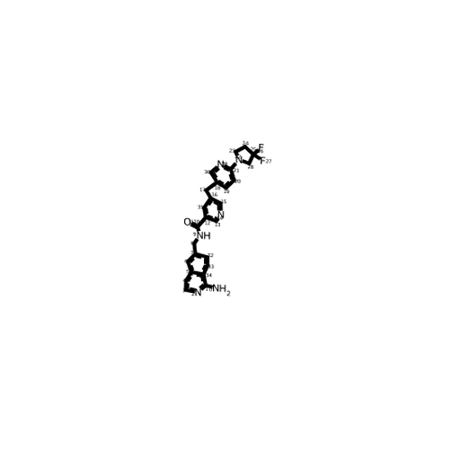 Nc1nccc2cc(CNC(=O)c3cncc(Cc4ccc(N5CCC(F)(F)C5)nc4)c3)ccc12